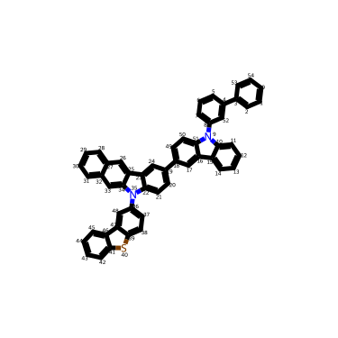 c1ccc(-c2cccc(-n3c4ccccc4c4cc(-c5ccc6c(c5)c5cc7ccccc7cc5n6-c5ccc6sc7ccccc7c6c5)ccc43)c2)cc1